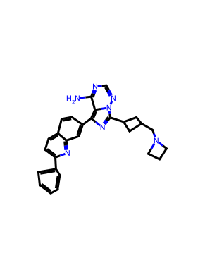 Nc1ncnn2c(C3CC(CN4CCC4)C3)nc(-c3ccc4ccc(-c5ccccc5)nc4c3)c12